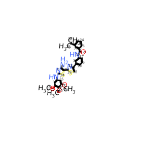 COc1cc(Nc2nc(N)c(-c3nc(-c4cccc(NC(=O)c5cccc(C(C)C)c5)c4)cs3)s2)cc(OC)c1OC